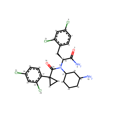 NC(=O)[C@H](Cc1ccc(Cl)cc1Cl)N(C(=O)C1(c2ccc(Cl)cc2Cl)CC1)C1CCCC(N)C1